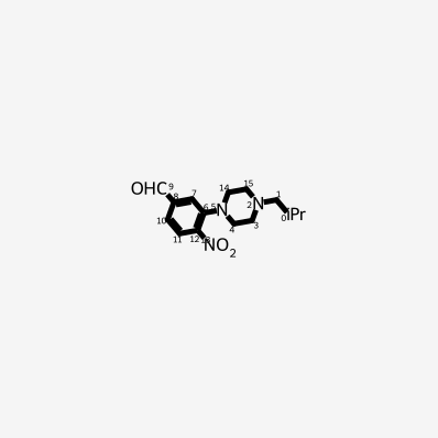 CC(C)CN1CCN(c2cc(C=O)ccc2[N+](=O)[O-])CC1